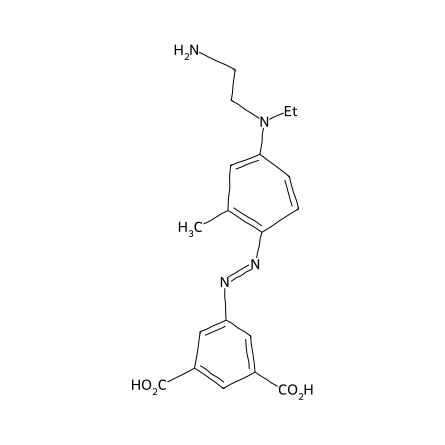 CCN(CCN)c1ccc(N=Nc2cc(C(=O)O)cc(C(=O)O)c2)c(C)c1